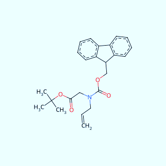 C=CCN(CC(=O)OC(C)(C)C)C(=O)OCC1c2ccccc2-c2ccccc21